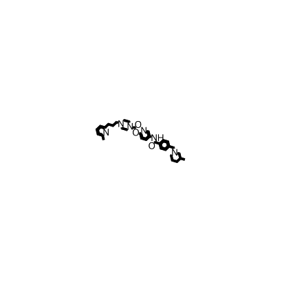 Cc1cccc(CCCN2CCN(C(=O)Oc3ccc(NC(=O)c4ccc(CN5CCCC(C)C5)cc4)cn3)CC2)n1